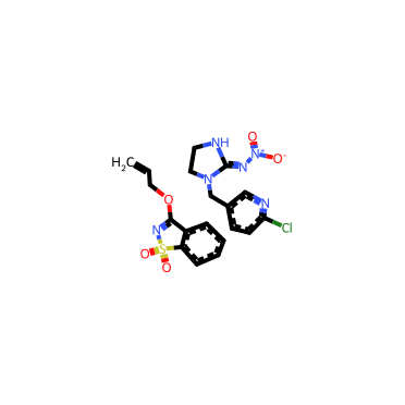 C=CCOC1=NS(=O)(=O)c2ccccc21.O=[N+]([O-])/N=C1\NCCN1Cc1ccc(Cl)nc1